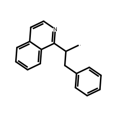 [CH2]C(Cc1ccccc1)c1nccc2ccccc12